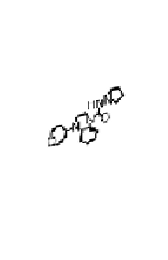 O=C(NN1CCCC1)N1CCN(C2CCOCC2)c2ccccc21